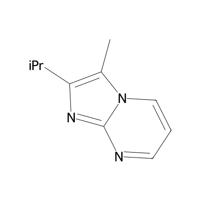 Cc1c(C(C)C)nc2ncccn12